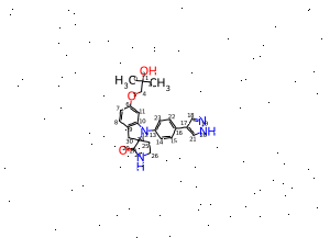 CC(C)(O)COc1ccc2c(c1)N(c1ccc(-c3cn[nH]c3)cc1)C1(CCNC1=O)C2